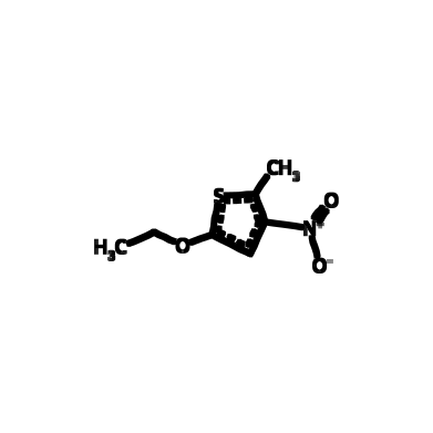 CCOc1cc([N+](=O)[O-])c(C)s1